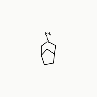 NN1CC2CCC(C2)C1